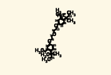 CCc1cc(OCCOCCOc2ccc(C(C)(C)CC)c(CC)c2)ccc1C(C)(C)CC